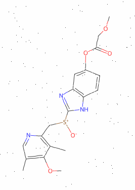 COCC(=O)Oc1ccc2[nH]c([S+]([O-])Cc3ncc(C)c(OC)c3C)nc2c1